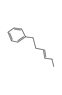 C[CH]C=CCCc1ccccc1